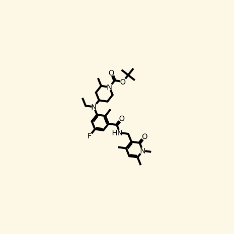 CCN(c1cc(F)cc(C(=O)NCc2c(C)cc(C)n(C)c2=O)c1C)C1CCN(C(=O)OC(C)(C)C)C(C)C1